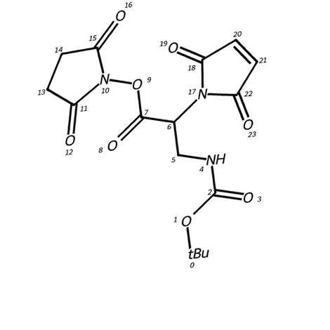 CC(C)(C)OC(=O)NCC(C(=O)ON1C(=O)CCC1=O)N1C(=O)C=CC1=O